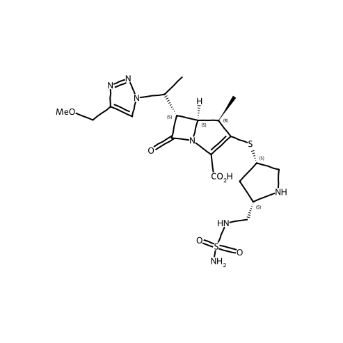 COCc1cn(C(C)[C@H]2C(=O)N3C(C(=O)O)=C(S[C@@H]4CN[C@H](CNS(N)(=O)=O)C4)[C@H](C)[C@H]23)nn1